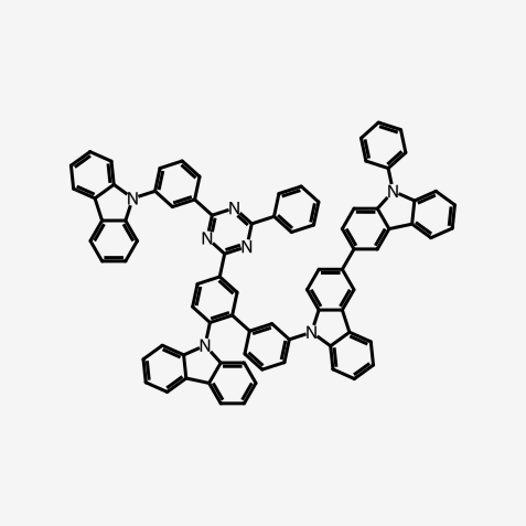 c1ccc(-c2nc(-c3cccc(-n4c5ccccc5c5ccccc54)c3)nc(-c3ccc(-n4c5ccccc5c5ccccc54)c(-c4cccc(-n5c6ccccc6c6cc(-c7ccc8c(c7)c7ccccc7n8-c7ccccc7)ccc65)c4)c3)n2)cc1